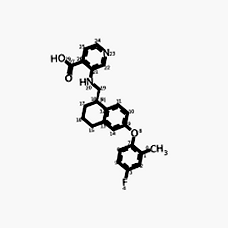 Cc1cc(F)ccc1Oc1ccc2c(c1)CCC[C@H]2CNc1cnccc1C(=O)O